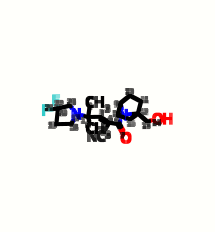 CC(C)(C=C(C#N)C(=O)N1C2CCC1(CO)CC2)N1CCC(F)(F)C1